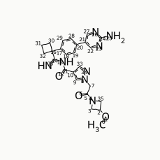 COC1CN(C(=O)Cn2cc(C(=O)NC(=N)C3(c4ccc(-c5cnc(N)nc5)cc4)CCC3)cn2)C1